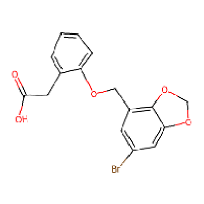 O=C(O)Cc1ccccc1OCc1cc(Br)cc2c1OCO2